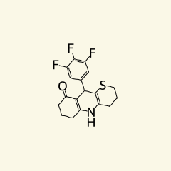 O=C1CCCC2=C1C(c1cc(F)c(F)c(F)c1)C1=C(CCCS1)N2